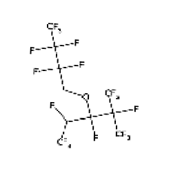 FC(C(F)(F)F)C(F)(OCC(F)(F)C(F)(F)C(F)(F)F)C(F)(C(F)(F)F)C(F)(F)F